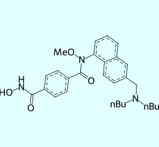 CCCCN(CCCC)Cc1ccc2c(N(OC)C(=O)c3ccc(C(=O)NO)cc3)cccc2c1